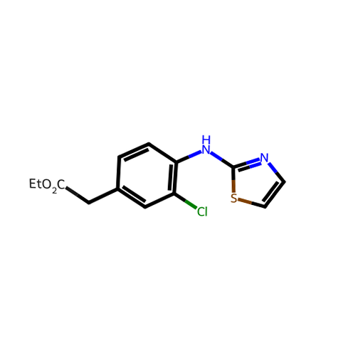 CCOC(=O)Cc1ccc(Nc2nccs2)c(Cl)c1